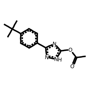 CC(=O)Oc1nc(-c2ccc(C(C)(C)C)cc2)n[nH]1